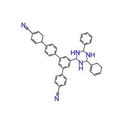 N#CC1=CCC(c2ccc(-c3cc(-c4ccc(C#N)cc4)cc(C4NC(C5=CC=CCC5)NC(c5ccccc5)N4)c3)cc2)C=C1